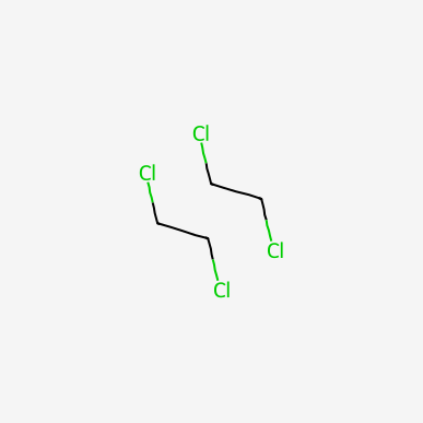 ClCCCl.ClCCCl